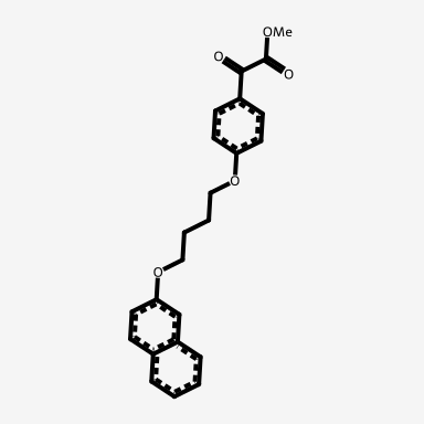 COC(=O)C(=O)c1ccc(OCCCCOc2ccc3ccccc3c2)cc1